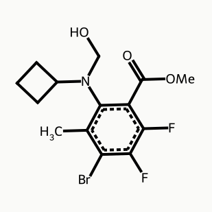 COC(=O)c1c(F)c(F)c(Br)c(C)c1N(CO)C1CCC1